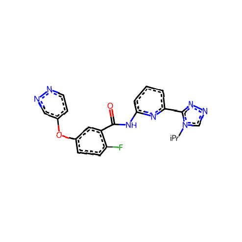 CC(C)n1cnnc1-c1cccc(NC(=O)c2cc(Oc3ccnnc3)ccc2F)n1